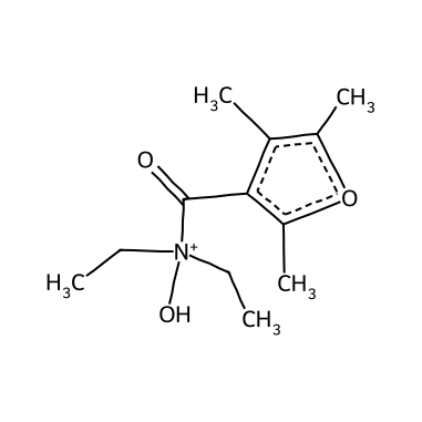 CC[N+](O)(CC)C(=O)c1c(C)oc(C)c1C